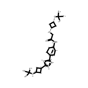 O=C(CO[C@H]1C[C@@H](OC(F)(F)F)C1)NC12CCC(c3nnc(C4CC(OC(F)(F)F)C4)o3)(CC1)OC2